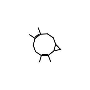 CC1=C(C)CCC2CC2C(C)=C(C)CC1